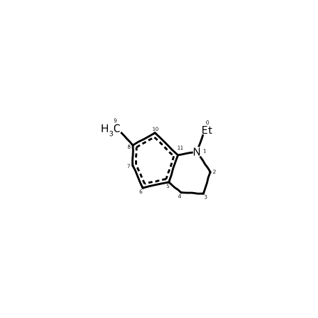 CCN1CCCc2ccc(C)cc21